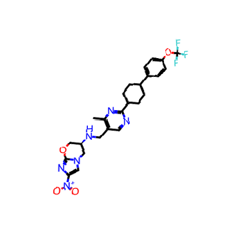 Cc1nc(C2CCC(c3ccc(OC(F)(F)F)cc3)CC2)ncc1CN[C@@H]1COc2nc([N+](=O)[O-])cn2C1